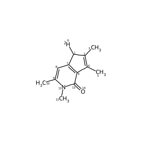 [2H]C1C(C)=C(C)c2c1cc(C)n(C)c2=O